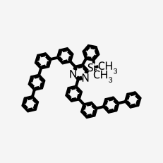 C[Si]1(C)c2ccccc2-c2c(-c3cccc(-c4cccc(-c5ccc(-c6ccccc6)cc5)c4)c3)nc(-c3cccc(-c4cccc(-c5ccc(-c6ccccc6)cc5)c4)c3)nc21